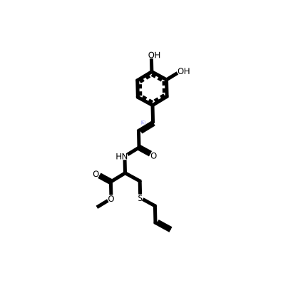 C=CCSCC(NC(=O)/C=C/c1ccc(O)c(O)c1)C(=O)OC